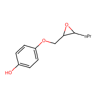 CCCC1OC1COc1ccc(O)cc1